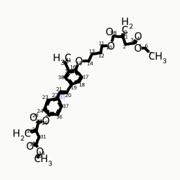 C=C(CC(=O)OCC)C(=O)OCCCCOc1ccc(/C=C/c2ccc(OC(=O)C(=C)CC(=O)OC)cc2)cc1CC